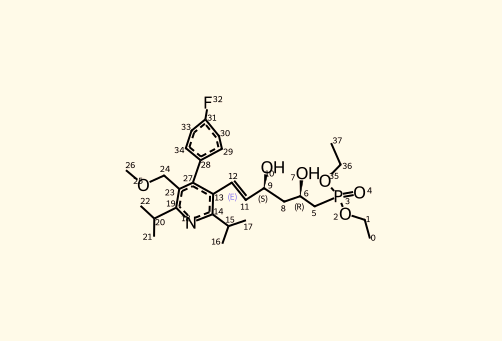 CCOP(=O)(C[C@H](O)C[C@H](O)/C=C/c1c(C(C)C)nc(C(C)C)c(COC)c1-c1ccc(F)cc1)OCC